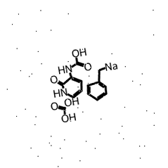 O=C(O)Nc1ccc[nH]c1=O.O=C(O)O.[Na][CH2]c1ccccc1